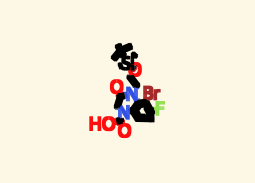 CC(C)(C)[Si](C)(C)OCCN1C(=O)CN(C(=O)O)c2ccc(F)c(Br)c21